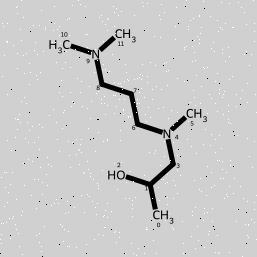 CC(O)CN(C)CCCN(C)C